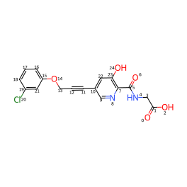 O=C(O)CNC(=O)c1ncc(C#CCOc2cccc(Cl)c2)cc1O